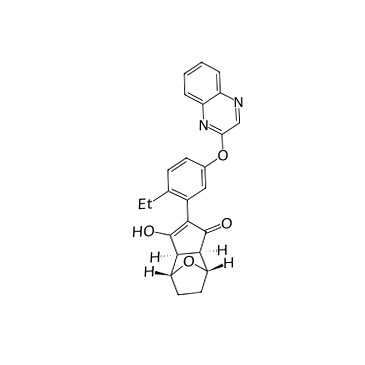 CCc1ccc(Oc2cnc3ccccc3n2)cc1C1=C(O)[C@H]2[C@@H](C1=O)[C@@H]1CC[C@H]2O1